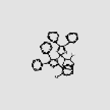 Clc1ccccc1-c1nc(-c2ccccc2)c(-c2ccccc2)n1C1(C2C=CC=CC2Cl)N=C(c2ccccc2)C(c2ccccc2)=N1